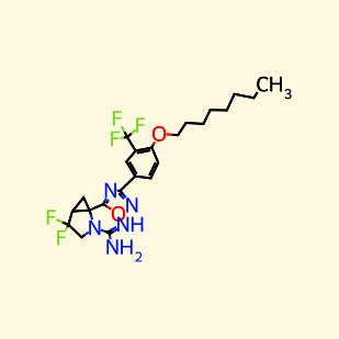 CCCCCCCCOc1ccc(-c2noc(C34CC3C(F)(F)CN4C(=N)N)n2)cc1C(F)(F)F